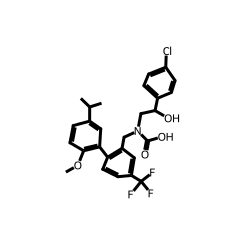 COc1ccc(C(C)C)cc1-c1ccc(C(F)(F)F)cc1CN(CC(O)c1ccc(Cl)cc1)C(=O)O